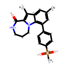 Cc1c2n(c3c(-c4ccc(S(C)(=O)=O)cc4)cc(C#N)cc13)CCCNC2=O